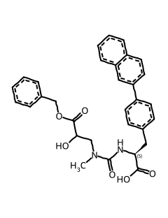 CN(CC(O)C(=O)OCc1ccccc1)C(=O)N[C@@H](Cc1ccc(-c2ccc3ccccc3c2)cc1)C(=O)O